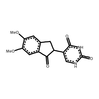 COc1cc2c(cc1OC)C(=O)C(c1c[nH]c(=O)[nH]c1=O)C2